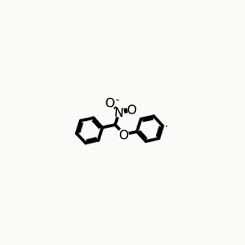 O=[N+]([O-])C(Oc1cc[c]cc1)c1ccccc1